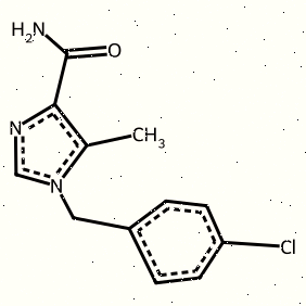 Cc1c(C(N)=O)ncn1Cc1ccc(Cl)cc1